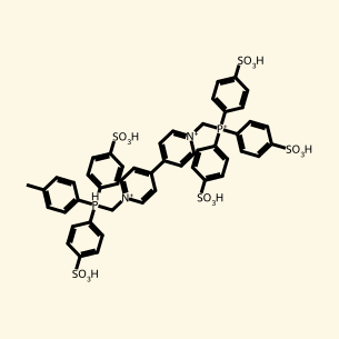 Cc1ccc([PH](C[n+]2ccc(-c3cc[n+](C[P+](c4ccc(S(=O)(=O)O)cc4)(c4ccc(S(=O)(=O)O)cc4)c4ccc(S(=O)(=O)O)cc4)cc3)cc2)(c2ccc(S(=O)(=O)O)cc2)c2ccc(S(=O)(=O)O)cc2)cc1